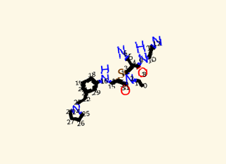 CCn1c(=C(C#N)C(=O)NCC#N)sc(=CNc2cccc(CCN3CCCC3)c2)c1=O